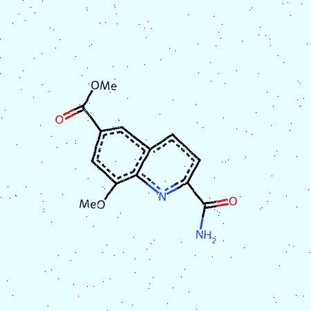 COC(=O)c1cc(OC)c2nc(C(N)=O)ccc2c1